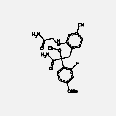 CCOC(Cc1ccc(C#N)cc1NCC(N)=O)(C(N)=O)c1ccc(OC)cc1F